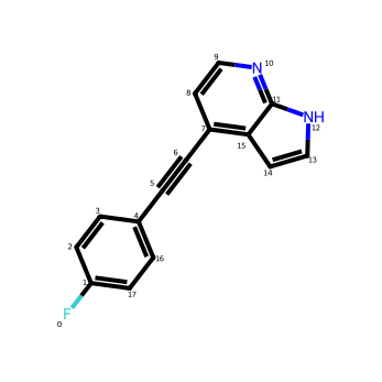 Fc1ccc(C#Cc2ccnc3[nH]ccc23)cc1